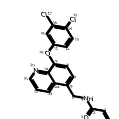 C=CC(=O)NCc1ccc(Oc2ccc(Cl)c(Cl)c2)c2ncccc12